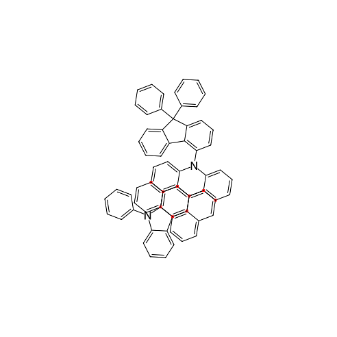 c1ccc(-c2cccc3cccc(-c4ccccc4N(c4ccccc4-c4ccc5c(c4)c4ccccc4n5-c4ccccc4)c4cccc5c4-c4ccccc4C5(c4ccccc4)c4ccccc4)c23)cc1